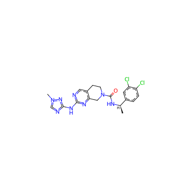 C[C@@H](NC(=O)N1CCc2cnc(Nc3ncn(C)n3)nc2C1)c1ccc(Cl)c(Cl)c1